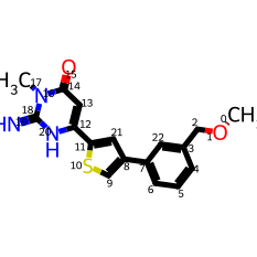 COCc1cccc(-c2csc(-c3cc(=O)n(C)c(=N)[nH]3)c2)c1